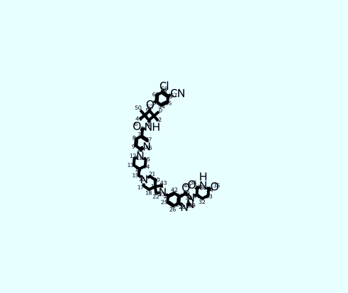 CC1(C)C(NC(=O)c2ccc(N3CCC(CN4CCC5(CC4)CN(c4ccc6nnn(C7CCC(=O)NC7=O)c(=O)c6c4)C5)CC3)nc2)C(C)(C)C1Oc1ccc(C#N)c(Cl)c1